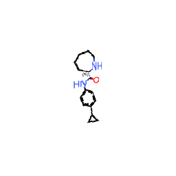 O=C(Nc1ccc(C2CC2)cc1)[C@@H]1CCCCCN1